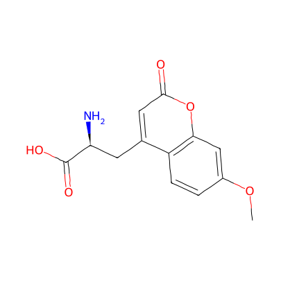 COc1ccc2c(C[C@H](N)C(=O)O)cc(=O)oc2c1